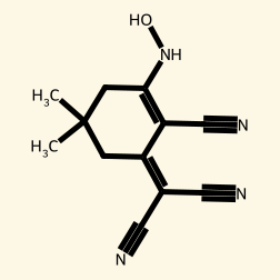 CC1(C)CC(NO)=C(C#N)C(=C(C#N)C#N)C1